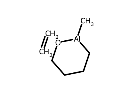 C=C.[CH3][Al]1[CH2]CCC[O]1